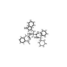 COc1ccccc1CC(=O)NC(C)(Cc1c[nH]c2ccccc12)C(=O)NC(c1ccccn1)C1CCCCC1